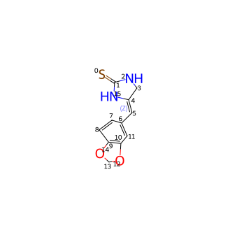 S=C1NC/C(=C/c2ccc3c(c2)OCO3)N1